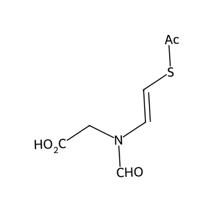 CC(=O)SC=CN(C=O)CC(=O)O